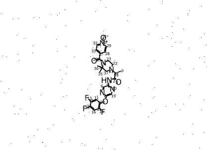 C[C@@H](C(=O)Nc1cnc(Oc2cc(F)c(F)cc2F)cn1)N1CCN(C(=O)c2cc[n+]([O-])cc2)C(C)(C)C1